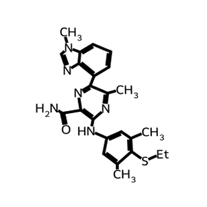 CCSc1c(C)cc(Nc2nc(C)c(-c3cccc4c3ncn4C)nc2C(N)=O)cc1C